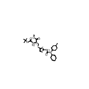 COC(=O)[C@@H](CSc1cnc(NC(=O)N(C2CCCCC2)C2CCC(C)CC2)s1)NC(=O)OC(C)(C)C